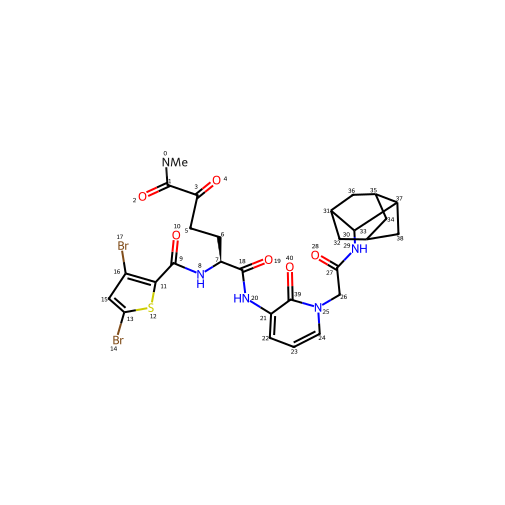 CNC(=O)C(=O)CC[C@H](NC(=O)c1sc(Br)cc1Br)C(=O)Nc1cccn(CC(=O)NC2C3CC4CC(C3)C2C4)c1=O